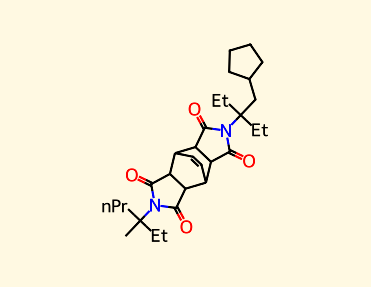 CCCC(C)(CC)N1C(=O)C2C3C=CC(C2C1=O)C1C(=O)N(C(CC)(CC)CC2CCCC2)C(=O)C31